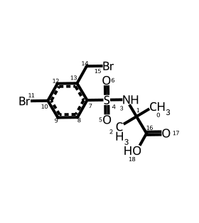 CC(C)(NS(=O)(=O)c1ccc(Br)cc1CBr)C(=O)O